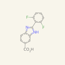 O=C(O)c1ccc2nc(-c3c(F)cccc3F)[nH]c2c1